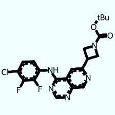 CC(C)(C)OC(=O)N1CC(c2cc3c(Nc4ccc(Cl)c(F)c4F)ncnc3cn2)C1